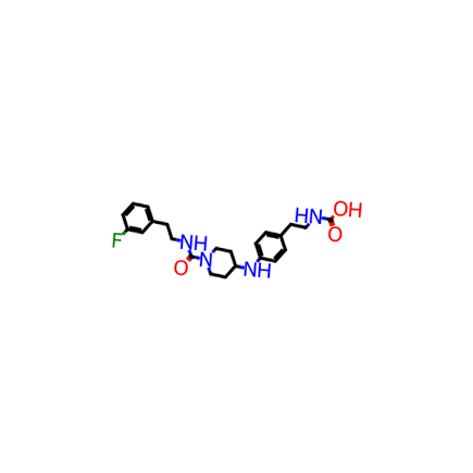 O=C(O)NCCc1ccc(NC2CCN(C(=O)NCCc3cccc(F)c3)CC2)cc1